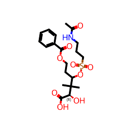 CC(=O)NCCCS(=O)(=O)OC(CCOC(=O)c1ccccc1)C(C)(C)[C@@H](O)C(=O)O